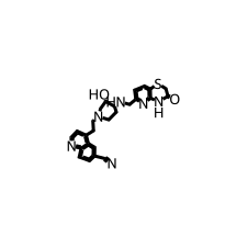 N#Cc1ccc2nccc(CCN3CCC(NCc4ccc5c(n4)NC(=O)CS5)C(O)C3)c2c1